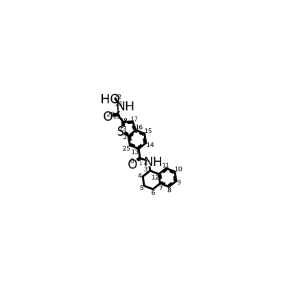 O=C(NC1CCCc2ccccc21)c1ccc2cc(C(=O)NO)sc2c1